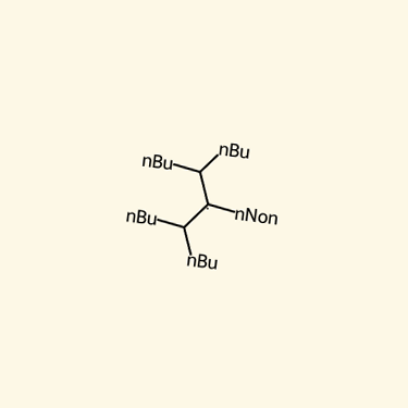 [CH2]CCCCCCCC[C](C(CCCC)CCCC)C(CCCC)CCCC